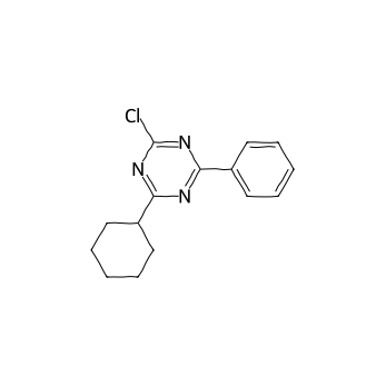 Clc1nc(-c2ccccc2)nc(C2CCCCC2)n1